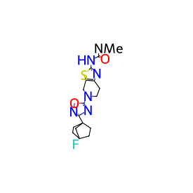 CNC(=O)Nc1nc2c(s1)CN(c1nc(C34CCC(F)(CC3)C4)no1)CC2